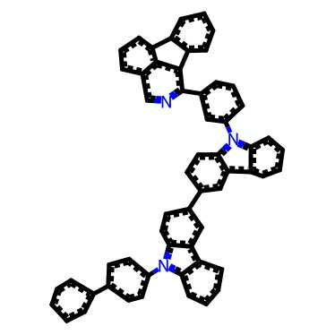 c1ccc(-c2ccc(-n3c4ccccc4c4cc(-c5ccc6c(c5)c5ccccc5n6-c5cccc(-c6ncc7cccc8c7c6-c6ccccc6-8)c5)ccc43)cc2)cc1